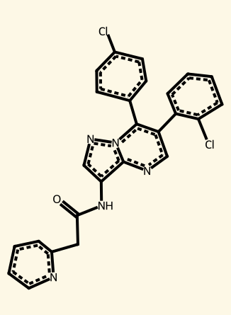 O=C(Cc1ccccn1)Nc1cnn2c(-c3ccc(Cl)cc3)c(-c3ccccc3Cl)cnc12